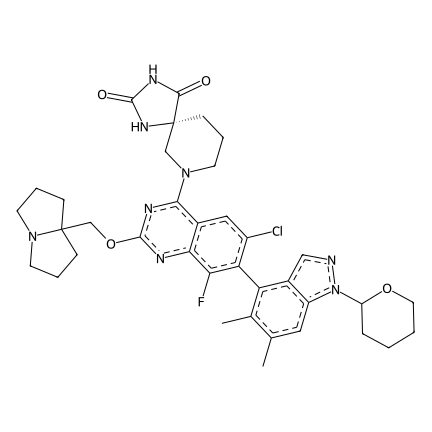 Cc1cc2c(cnn2C2CCCCO2)c(-c2c(Cl)cc3c(N4CCC[C@]5(C4)NC(=O)NC5=O)nc(OCC45CCCN4CCC5)nc3c2F)c1C